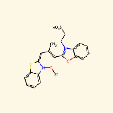 CCON1C(=CC(C)=Cc2oc3ccccc3[n+]2CCS(=O)(=O)O)Sc2ccccc21